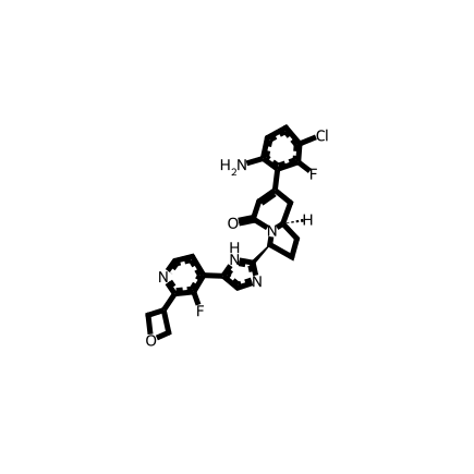 Nc1ccc(Cl)c(F)c1C1=CC(=O)N2[C@H](CC[C@H]2c2ncc(-c3ccnc(C4COC4)c3F)[nH]2)C1